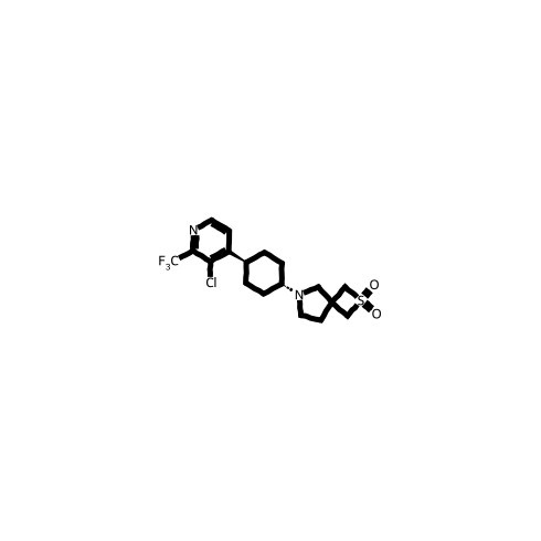 O=S1(=O)CC2(CCN([C@H]3CC[C@H](c4ccnc(C(F)(F)F)c4Cl)CC3)C2)C1